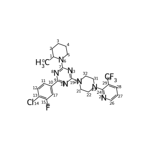 CC1CCCCN1c1nc(-c2ccc(Cl)c(F)c2)nc(N2CCN(c3ncccc3C(F)(F)F)CC2)n1